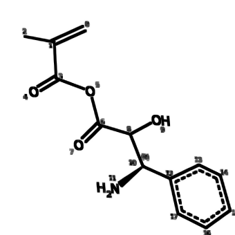 C=C(C)C(=O)OC(=O)C(O)[C@H](N)c1ccccc1